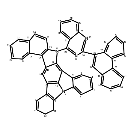 C1=Cc2c(n3c4ccccc4c4c5c(cc2c43)c2c3ccccc3ccc2n5-c2nc(-c3cc4ccccc4c4ccccc34)nc3ccccc23)CC1